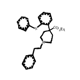 CCOC(=O)C1(c2ccccc2Sc2ccccc2)CCN(CCc2ccccc2)CC1